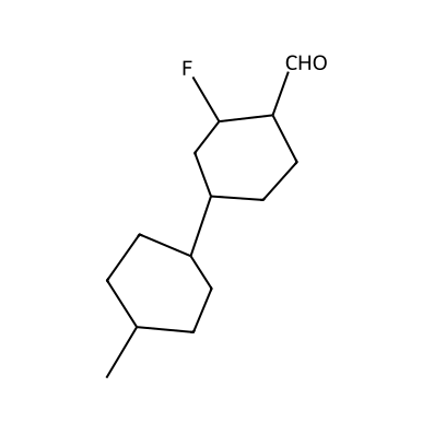 CC1CCC(C2CCC(C=O)C(F)C2)CC1